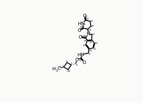 C[C@H]1C[C@H](COC(=O)NCc2ccc3c(c2)C(=O)N(C2CCC(=O)NC2=O)C3)C1